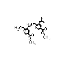 CCOC(=O)c1cnc(CC)c(C=C(F)F)c1.CCOC(=O)c1cnc(CC)c(C=O)c1